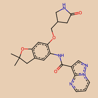 CC1(C)Cc2cc(NC(=O)c3cnn4cccnc34)c(OCC3CNC(=O)C3)cc2O1